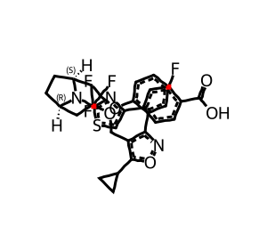 O=C(O)c1ccc(-c2csc(N3[C@@H]4CC[C@H]3CC(OCc3c(-c5ccccc5OC(F)(F)F)noc3C3CC3)C4)n2)cc1F